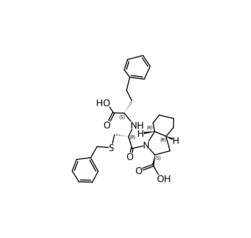 O=C(O)[C@H](CCc1ccccc1)N[C@@H](CSCc1ccccc1)C(=O)N1[C@@H]2CCCC[C@@H]2C[C@H]1C(=O)O